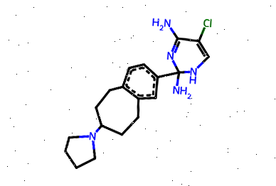 NC1=NC(N)(c2ccc3c(c2)CCC(N2CCCC2)CC3)NC=C1Cl